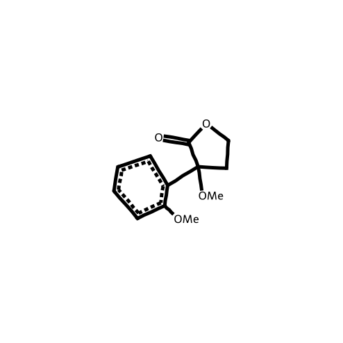 COc1ccccc1C1(OC)CCOC1=O